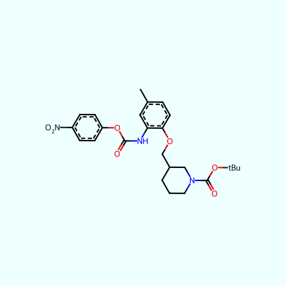 Cc1ccc(OCC2CCCN(C(=O)OC(C)(C)C)C2)c(NC(=O)Oc2ccc([N+](=O)[O-])cc2)c1